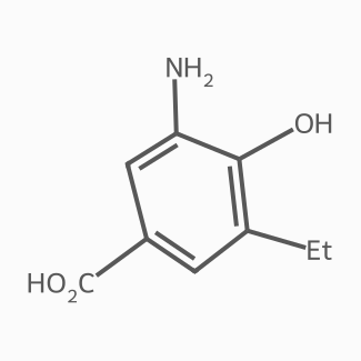 CCc1cc(C(=O)O)cc(N)c1O